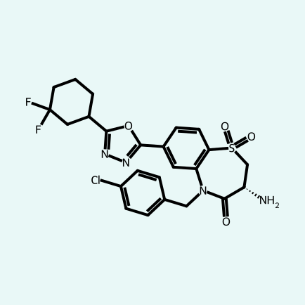 N[C@H]1CS(=O)(=O)c2ccc(-c3nnc(C4CCCC(F)(F)C4)o3)cc2N(Cc2ccc(Cl)cc2)C1=O